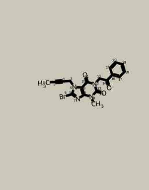 CC#CCn1c(Br)nc2c1c(=O)n(CC(=O)c1ccccc1)c(=O)n2C